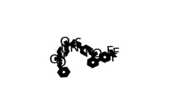 O=C(OCc1ccccc1)N1CCN(C(=O)c2csc(C3CCN(C(=O)c4ccccc4-c4ccc(C(F)(F)F)cc4)CC3)n2)CC1